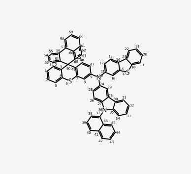 c1ccc2c(c1)Sc1cc(N(c3ccc4c(c3)sc3ccccc34)c3ccc4c(c3)c3ccccc3n4-c3cccc4ccccc34)ccc1C21c2ccccc2-c2cccc3cccc1c23